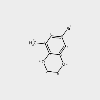 Cc1cc(Br)cc2c1OCCO2